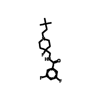 CC(C)(C)CCN1CCC(F)(CNC(=O)c2cc(F)cc(F)c2)CC1